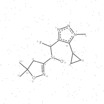 Cn1nnc(C(F)[S+]([O-])C2=NOC(C)(C)C2)c1C1CC1